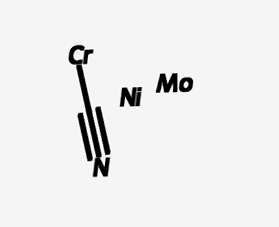 N#[C][Cr].[Mo].[Ni]